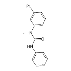 CC(C)c1cccc(N(C)C(=O)Nc2ccccc2)c1